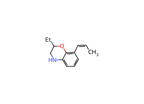 C/C=C\c1cccc2c1OC(CC)CN2